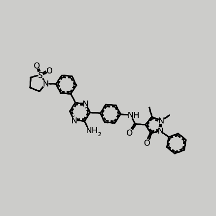 Cc1c(C(=O)Nc2ccc(-c3nc(-c4cccc(N5CCCS5(=O)=O)c4)cnc3N)cc2)c(=O)n(-c2ccccc2)n1C